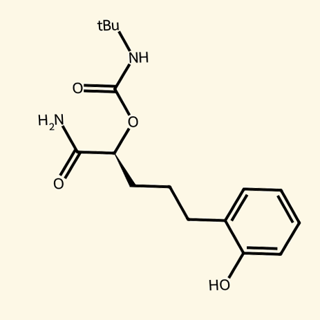 CC(C)(C)NC(=O)O[C@@H](CCCc1ccccc1O)C(N)=O